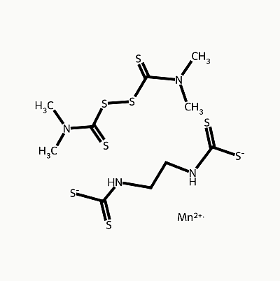 CN(C)C(=S)SSC(=S)N(C)C.S=C([S-])NCCNC(=S)[S-].[Mn+2]